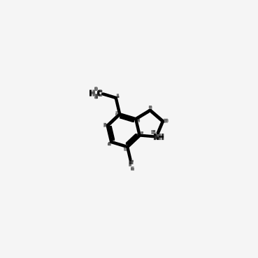 CCc1ccc(F)c2c1CCN2